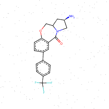 N[C@@H]1CC2COc3ccc(-c4ccc(C(F)(F)F)cc4)cc3C(=O)N2C1